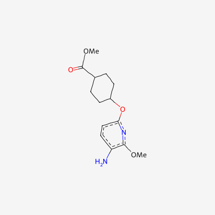 COC(=O)C1CCC(Oc2ccc(N)c(OC)n2)CC1